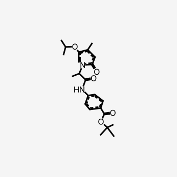 Cc1cc(=O)n(C(C)C(=O)Nc2ccc(C(=O)OC(C)(C)C)cc2)cc1OC(C)C